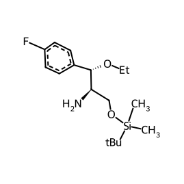 CCO[C@@H](c1ccc(F)cc1)[C@H](N)CO[Si](C)(C)C(C)(C)C